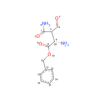 NC(=O)C(C=O)[C@H](N)C(=O)OCc1ccccc1